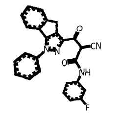 N#CC(C(=O)Nc1cccc(F)c1)C(=O)c1nn(-c2ccccc2)c2c1Cc1ccccc1-2